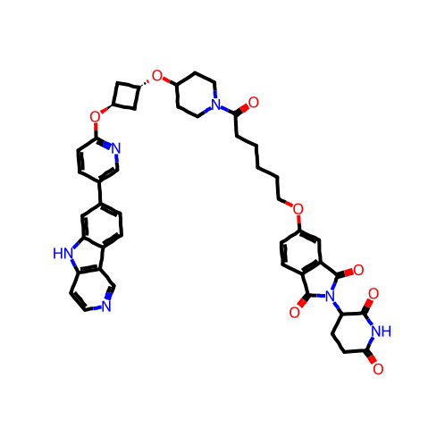 O=C1CCC(N2C(=O)c3ccc(OCCCCCC(=O)N4CCC(O[C@H]5C[C@H](Oc6ccc(-c7ccc8c(c7)[nH]c7ccncc78)cn6)C5)CC4)cc3C2=O)C(=O)N1